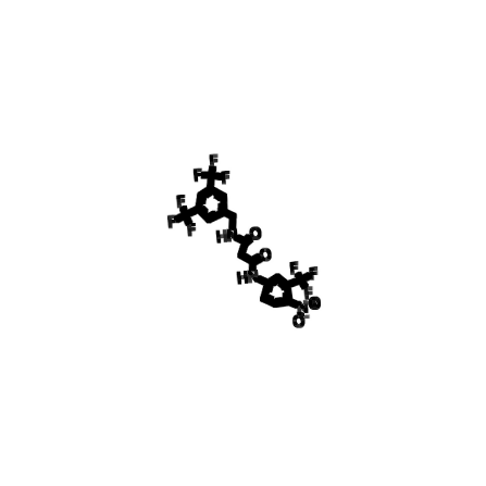 O=C(CC(=O)Nc1ccc([N+](=O)[O-])c(C(F)(F)F)c1)NCc1cc(C(F)(F)F)cc(C(F)(F)F)c1